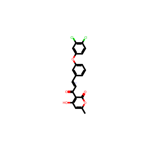 Cc1cc(O)c(C(=O)/C=C/c2cccc(Oc3ccc(Cl)c(Cl)c3)c2)c(=O)o1